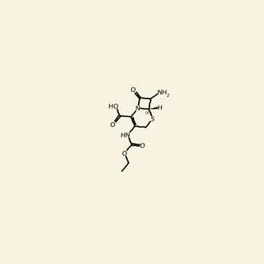 CCOC(=O)NC1=C(C(=O)O)N2C(=O)C(N)[C@@H]2SC1